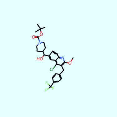 COc1nc2ccc(C(O)C3CCN(C(=O)OC(C)(C)C)CC3)cc2c(Cl)c1Cc1ccc(C(F)(F)F)cc1